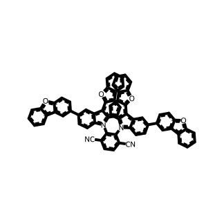 N#Cc1ccc(C#N)c(-n2c3ccc(-c4ccc5oc6ccccc6c5c4)cc3c3c4oc5ccccc5c4ccc32)c1-n1c2ccc(-c3ccc4oc5ccccc5c4c3)cc2c2c3oc4ccccc4c3ccc21